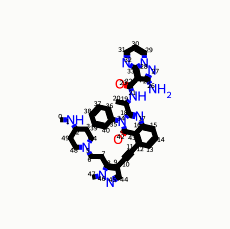 CNC1CCN(CCc2c(C#Cc3cccc4nc(C(C)NC(=O)c5c(N)nn6cccnc56)n(-c5ccccc5)c(=O)c34)cnn2C)CC1